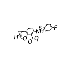 COC(=O)c1c(NSc2ccc(F)cc2)ccc2c1OC[C@@H]1CC21